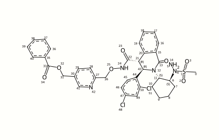 CS(=O)(=O)N(N)[C@H]1CCCC[C@@H]1N1C(=O)c2ccccc2[C@@H](C(=O)NOCc2ccc(COC(=O)c3ccccc3)cn2)[C@@H]1c1ccc(Cl)cc1Cl